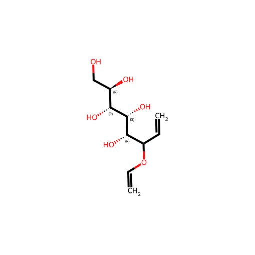 C=COC(C=C)[C@H](O)[C@@H](O)[C@H](O)[C@H](O)CO